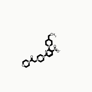 CCC1CCN(c2nc(N3CCN(CC(=O)N4CCOCC4)CC3)ccc2[N+](=O)[O-])CC1